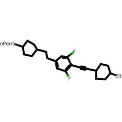 CCCCCC1CCC(CCc2cc(F)c(C#CC3CCC(CC)CC3)c(F)c2)CC1